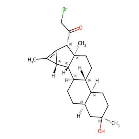 CC1=C2[C@@H]1[C@H]1[C@@H]3CC[C@@H]4C[C@](C)(O)CC[C@@H]4[C@H]3CC[C@]1(C)[C@H]2C(=O)CBr